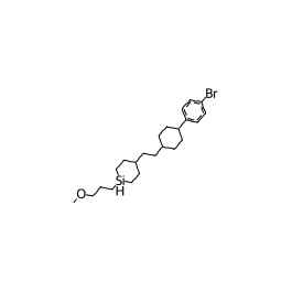 COCCC[SiH]1CCC(CCC2CCC(c3ccc(Br)cc3)CC2)CC1